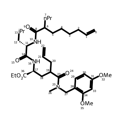 C=CCCCCC(CCC)C(=O)N[C@@H](CC(C)C)C(=O)N[C@@H](CC(CC=C)C(=O)N(C)Cc1ccc(OC)cc1OC)C(=O)OCC